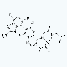 CC(F)=CN1C[C@@H]2C(=O)N(C)c3cnc4c(F)c(-c5c(F)cc(F)c6sc(N)nc56)c(Cl)cc4c3N2C[C@H]1C